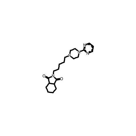 O=C1C2CCCCC2C(=O)N1CCCCCN1CCN(c2ncccn2)CC1